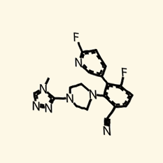 Cn1cnnc1N1CCN(c2c(C#N)ccc(F)c2-c2ccc(F)nc2)CC1